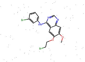 COc1cc2ncnc(Nc3cccc(Br)c3)c2cc1OCCBr